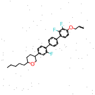 C=CCOc1ccc(-c2ccc(-c3ccc(C4CCC(CCCCC)OC4)cc3F)cc2)c(F)c1F